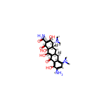 CN(C)c1cc(N)c(O)c2c1C[C@@H]1C[C@H]3[C@@H](N(C)C)C(O)=C(C(N)=O)C(=O)[C@]3(O)C(O)=C1C2=O